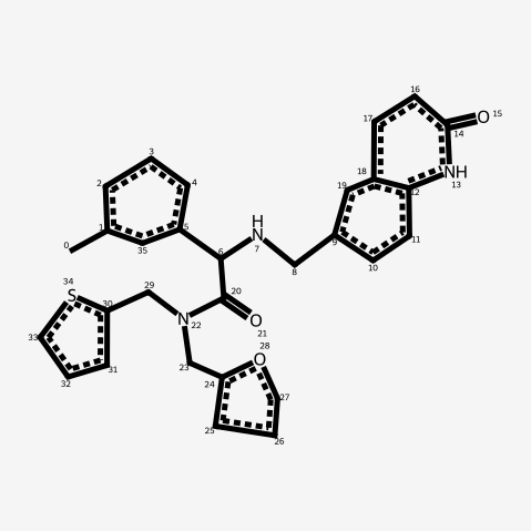 Cc1cccc(C(NCc2ccc3[nH]c(=O)ccc3c2)C(=O)N(Cc2ccco2)Cc2cccs2)c1